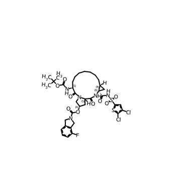 CC(C)(C)OC(=O)N[C@H]1CCCCCCC[C@@H]2C[C@@]2(C(=O)NS(=O)(=O)c2cc(Cl)c(Cl)s2)NC(=O)[C@@H]2C[C@@H](OC(=O)N3Cc4cccc(F)c4C3)CN2C1=O